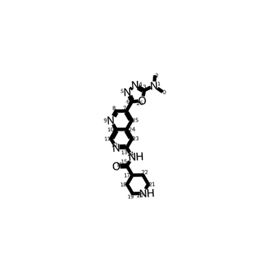 CN(C)c1nnc(-c2cnc3cnc(NC(=O)C4CCNCC4)cc3c2)o1